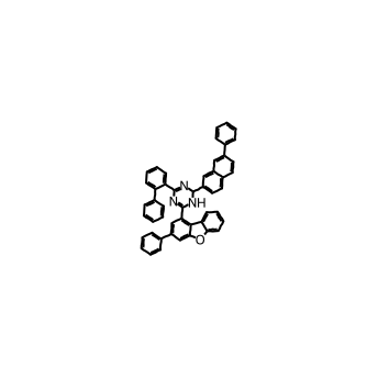 c1ccc(-c2ccc3ccc(C4N=C(c5ccccc5-c5ccccc5)N=C(c5cc(-c6ccccc6)cc6oc7ccccc7c56)N4)cc3c2)cc1